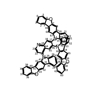 c1ccc2c(c1)oc1cc3c4ccccc4n(-c4cc5nccc(-n6c7ccccc7c7cc8oc9ccccc9c8cc76)c5cc4-n4c5ccccc5c5cc6oc7ccccc7c6cc54)c3cc12